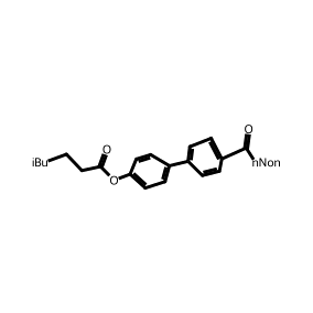 CCCCCCCCCC(=O)c1ccc(-c2ccc(OC(=O)CCC(C)CC)cc2)cc1